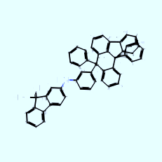 CC1(C)c2ccccc2-c2ccc(Nc3cccc(C4(c5ccccc5)c5ccccc5C5(c6ccccc6)c6c(cccc64)C4=CC=CCC45)c3)cc21